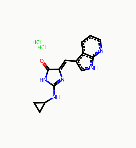 Cl.Cl.O=C1NC(NC2CC2)=N/C1=C\c1c[nH]c2ncccc12